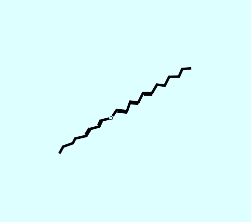 CCCCC=CC=COC=CC=CC=CCCCCCC